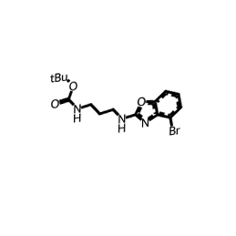 CC(C)(C)OC(=O)NCCCNc1nc2c(Br)cccc2o1